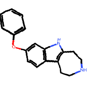 c1ccc(Oc2ccc3c4c([nH]c3c2)CCNCC4)cc1